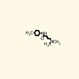 CN(C)C/C=C/C(=O)N[C@H]1CC[C@H](C)CC1